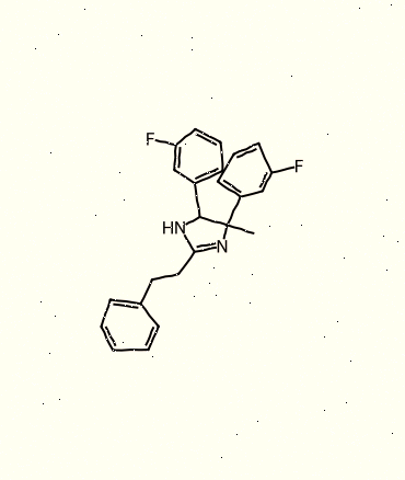 CC1(c2cccc(F)c2)N=C(CCc2ccccc2)NC1c1cccc(F)c1